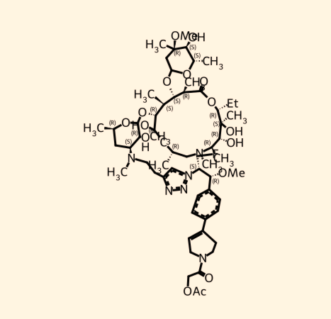 CC[C@H]1OC(=O)[C@H](C)[C@@H](OC2C[C@@](C)(OC)[C@@H](O)[C@H](C)O2)[C@H](C)[C@@H](OC2O[C@H](C)C[C@H](N(C)CCc3cn([C@H](CF)[C@H](OC)c4ccc(C5=CCN(C(=O)COC(C)=O)CC5)cc4)nn3)[C@H]2O)[C@](C)(O)C[C@@H](C)CN(C)[C@H](C)[C@@H](O)[C@]1(C)O